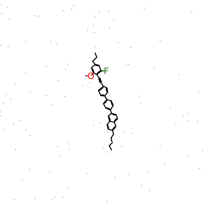 CCCCCc1ccc2cc(-c3ccc(-c4ccc(C#Cc5c(F)cc(CCC)cc5OC)cc4)cc3)ccc2c1